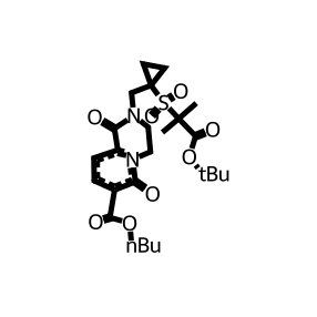 CCCCOC(=O)c1ccc2n(c1=O)CCN(CC1(S(=O)(=O)C(C)(C)C(=O)OC(C)(C)C)CC1)C2=O